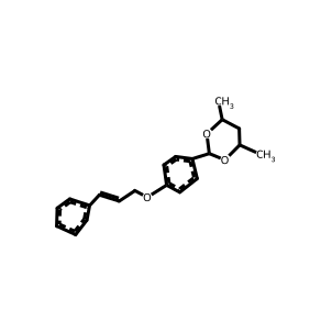 CC1CC(C)OC(c2ccc(OC/C=C/c3ccccc3)cc2)O1